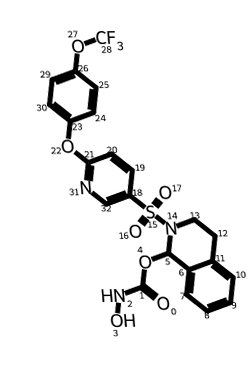 O=C(NO)OC1c2ccccc2CCN1S(=O)(=O)c1ccc(Oc2ccc(OC(F)(F)F)cc2)nc1